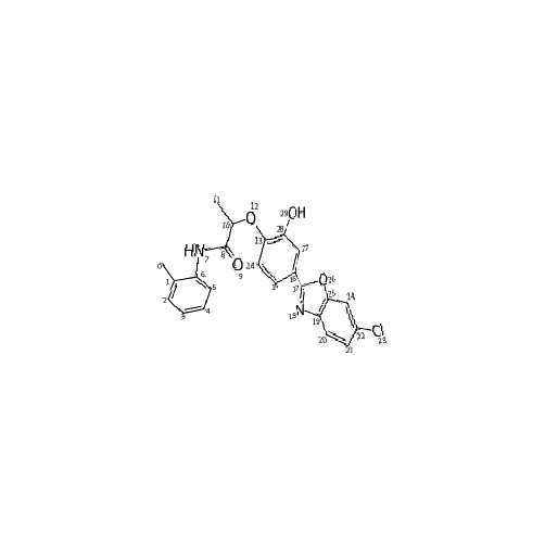 Cc1ccccc1NC(=O)C(C)Oc1ccc(-c2nc3ccc(Cl)cc3o2)cc1O